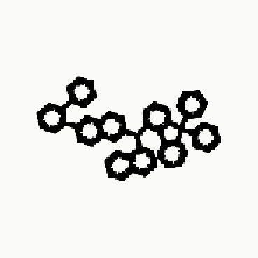 c1ccc(-c2ccccc2-c2ccc3cc(N(c4cccc5c4-c4ccccc4C5(c4ccccc4)c4ccccc4)c4cccc5ccccc45)ccc3c2)cc1